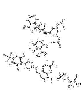 CCc1ccc(COc2ccc(-n3c(=O)cc(C(F)(F)F)n(C)c3=O)cc2)c(OC(C)C(=O)OC)c1.COc1c(Cl)ccc(Cl)c1C(=O)O.CP(=O)(O)CCC(N)C(=O)O.O=C(Nc1nc(OC(F)F)cc(OC(F)F)n1)NS(=O)(=O)c1ccccc1C(=O)O